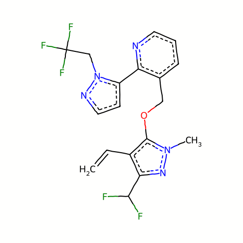 C=Cc1c(C(F)F)nn(C)c1OCc1cccnc1-c1ccnn1CC(F)(F)F